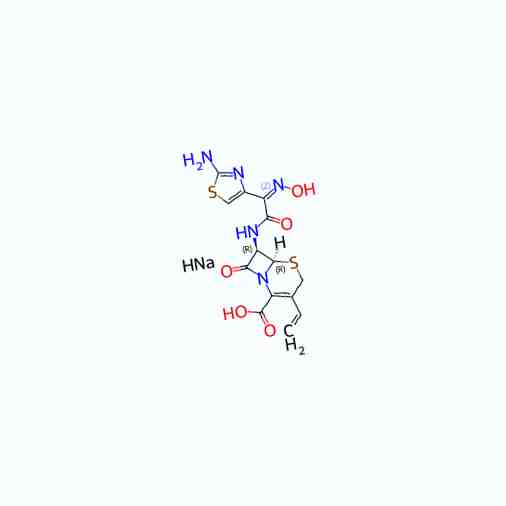 C=CC1=C(C(=O)O)N2C(=O)[C@@H](NC(=O)/C(=N\O)c3csc(N)n3)[C@H]2SC1.[NaH]